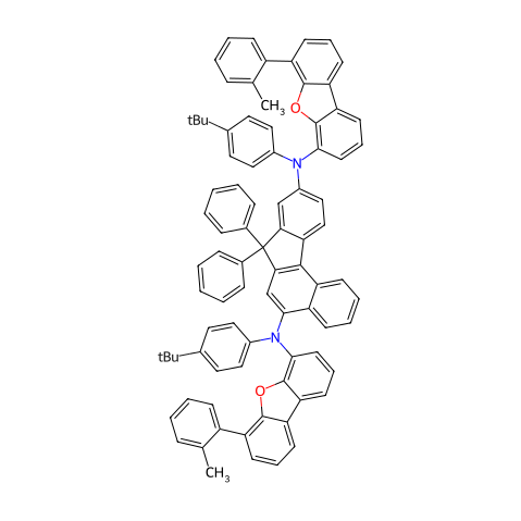 Cc1ccccc1-c1cccc2c1oc1c(N(c3ccc(C(C)(C)C)cc3)c3ccc4c(c3)C(c3ccccc3)(c3ccccc3)c3cc(N(c5ccc(C(C)(C)C)cc5)c5cccc6c5oc5c(-c7ccccc7C)cccc56)c5ccccc5c3-4)cccc12